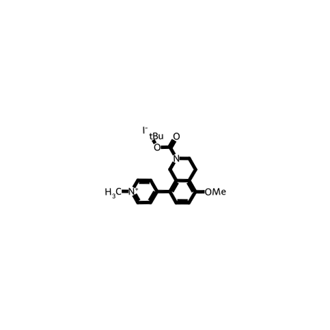 COc1ccc(-c2cc[n+](C)cc2)c2c1CCN(C(=O)OC(C)(C)C)C2.[I-]